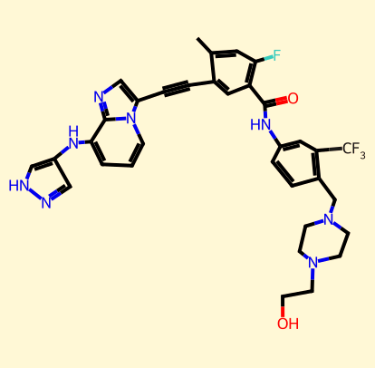 Cc1cc(F)c(C(=O)Nc2ccc(CN3CCN(CCO)CC3)c(C(F)(F)F)c2)cc1C#Cc1cnc2c(Nc3cn[nH]c3)cccn12